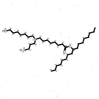 CCCCCCCCC(CCCCCCCC)OC(=O)CCCCCCCN(CCCN)CCCCCCCS